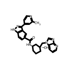 Cc1cc(-c2n[nH]c3ccc(C(=O)N[C@H]4CCC[C@](O)(Cn5cnc6ncccc65)C4)cc23)ccn1